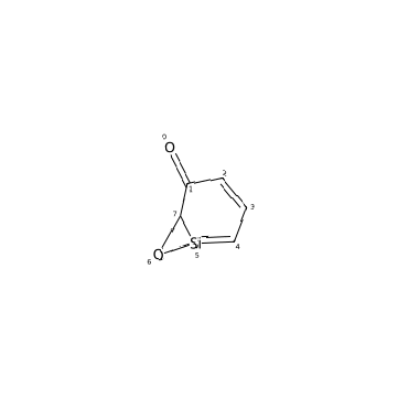 O=C1C=CC=[Si]2OC12